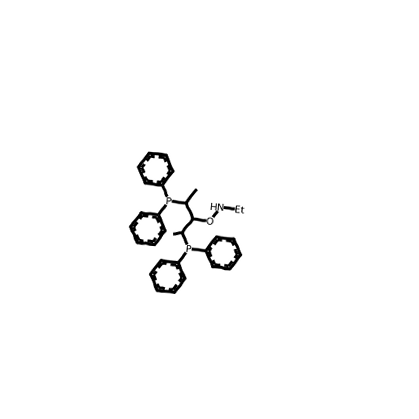 CCNOC(C(C)P(c1ccccc1)c1ccccc1)C(C)P(c1ccccc1)c1ccccc1